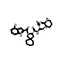 N#C[C@H](C[C@@H]1CCCNC1=O)NC(=O)[C@@H]1CC2(CCCCC2)CN1C(=O)c1cc2c(Cl)cccc2[nH]1